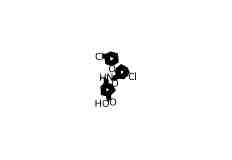 C[C@H](NC(=O)c1cc(Cl)ccc1Oc1cccc(Cl)c1)c1ccc(C(=O)O)cc1